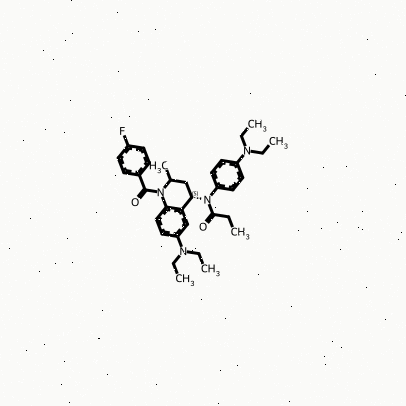 CCC(=O)N(c1ccc(N(CC)CC)cc1)[C@H]1CC(C)N(C(=O)c2ccc(F)cc2)c2ccc(N(CC)CC)cc21